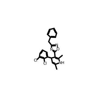 CC1=CC(c2cccc(Cl)c2Cl)C(c2nc(Cc3ccccc3)no2)=C(C)N1